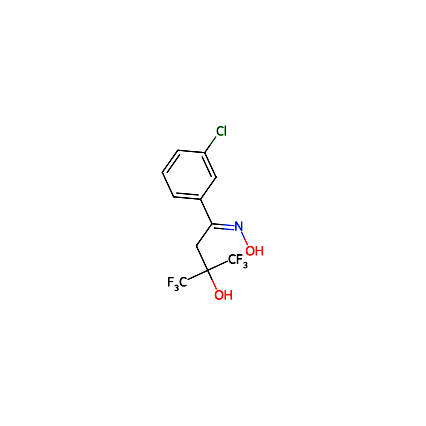 ON=C(CC(O)(C(F)(F)F)C(F)(F)F)c1cccc(Cl)c1